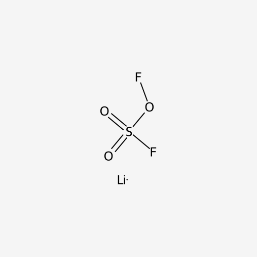 O=S(=O)(F)OF.[Li]